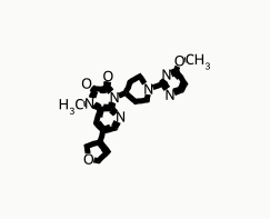 COc1ccnc(N2CCC(n3c(=O)c(=O)n(C)c4cc(C5=CCOC5)cnc43)CC2)n1